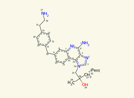 CCC[C@H](C)c1nc2c(N)nc3cc(Cc4ccc(CCN)cc4)ccc3c2n1CC(C)(C)O